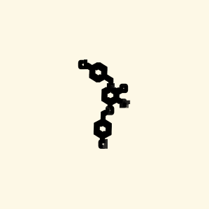 O=c1c(Br)c(OCc2ccc(Cl)cc2)ccn1Cc1ccc(Cl)cc1